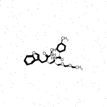 CCOCOC[C@H](C[C@H](Cc1coc2ccccc12)C(=O)NO)NC(=O)[C@H]1CC[C@H](C)CC1